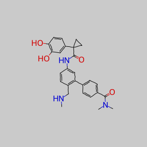 CNCc1ccc(NC(=O)C2(c3ccc(O)c(O)c3)CC2)cc1-c1ccc(C(=O)N(C)C)cc1